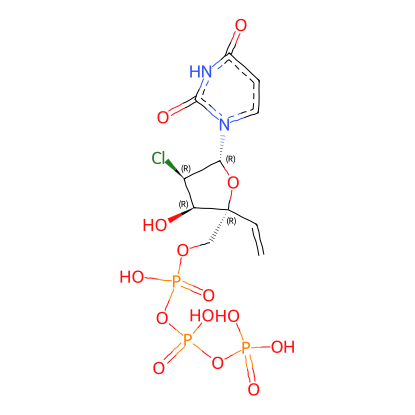 C=C[C@]1(COP(=O)(O)OP(=O)(O)OP(=O)(O)O)O[C@@H](n2ccc(=O)[nH]c2=O)[C@H](Cl)[C@@H]1O